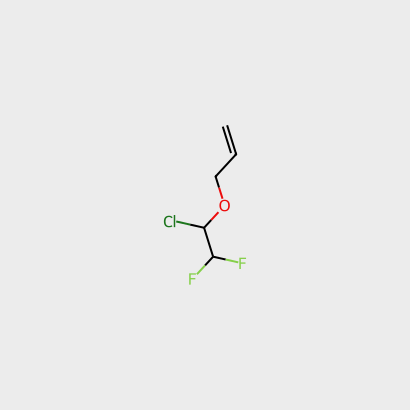 C=CCOC(Cl)C(F)F